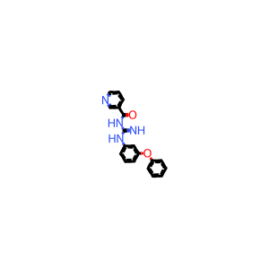 N=C(NC(=O)c1cccnc1)Nc1cccc(Oc2ccccc2)c1